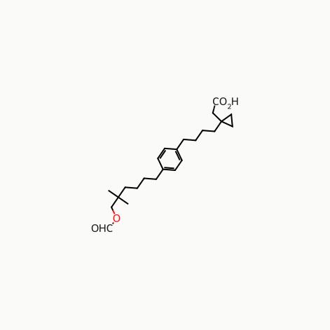 CC(C)(CCCCc1ccc(CCCCC2(CC(=O)O)CC2)cc1)COC=O